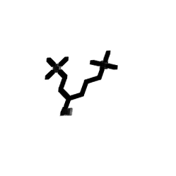 CC(=O)C(CCC[Si](C)(C)C)CC[Si](C)(C)C